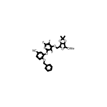 COC1OC(COc2c(F)c(F)nc(Oc3cc(C#N)ccc3OCc3ccccc3)c2F)C2OC(C)(C)OC12